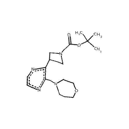 CC(C)(C)OC(=O)N1CC(c2nccnc2N2CCOCC2)C1